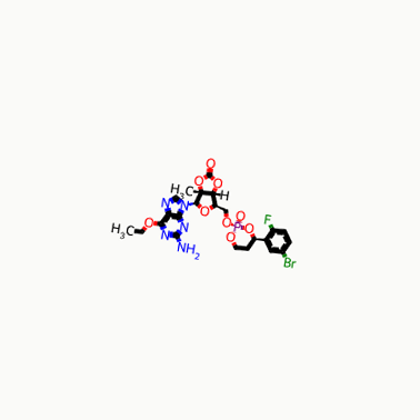 CCOc1nc(N)nc2c1ncn2[C@@H]1O[C@H](CO[P@]2(=O)OCC[C@H](c3cc(Br)ccc3F)O2)[C@H]2OC(=O)O[C@]21C